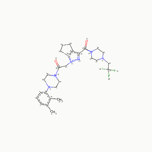 Cc1cccc(N2CCN(C(=O)Cn3nc(C(=O)N4CCN(CC(F)(F)F)CC4)c4c3CCC4)CC2)c1C